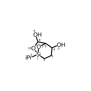 CC(C)[Si]12CCC(O)C(O1)C(O)O2